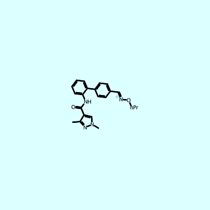 CCCO/N=C/c1ccc(-c2ccccc2NC(=O)c2cn(C)nc2C)cc1